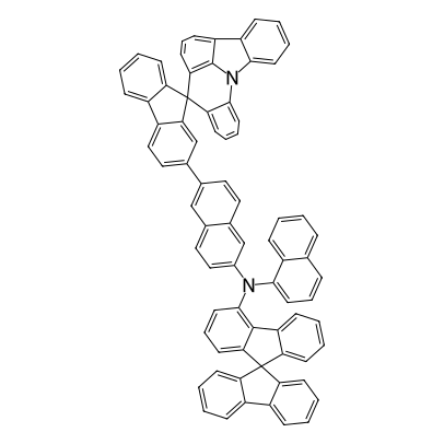 c1ccc2c(c1)-c1ccccc1C21c2ccccc2-c2c(N(c3ccc4cc(-c5ccc6c(c5)C5(c7ccccc7-6)c6ccccc6-n6c7ccccc7c7cccc5c76)ccc4c3)c3cccc4ccccc34)cccc21